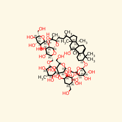 C[C@@H]1[C@@H](O)[C@H](OC[C@H]2O[C@@H](O[C@H](CC[C@@H](C)C3CC[C@@]4(C)C5CC=C6C(CC[C@H](O[C@@H]7O[C@H](CO[C@H]8O[C@H](CO)[C@@H](O)[C@H](O)[C@H]8O)[C@@H](O)[C@H](O)[C@H]7O)C6(C)C)[C@]5(C)[C@H](O)C[C@]34C)C(C)(C)O)[C@H](O[C@H]3O[C@@H](CO)[C@H](O)[C@@H](O)[C@@H]3O)[C@@H](O)[C@@H]2O)O[C@H](COC2C[C@H](CO)[C@@H](O)[C@H](O)[C@H]2O)[C@H]1O